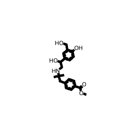 COC(=O)c1ccc(CC(C)(C)NCC(O)c2ccc(O)c(CO)c2)cc1